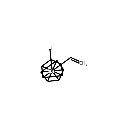 [Li][C]12[CH]3[CH]4[CH]5[C]1(C=C)[Fe]43521678[CH]2[CH]1[CH]6[CH]7[CH]28